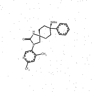 CN[C@]1(c2ccccc2)CC[C@@]2(CC1)CN(c1cnc(C(F)(F)F)cc1C)C(=O)N2